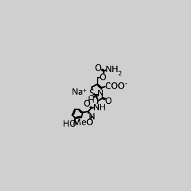 CON=C(C(=O)NC1C(=O)N2C(C(=O)[O-])=C(COC(N)=O)CS[C@@H]12)c1cccc(O)c1.[Na+]